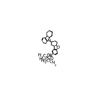 CC1(C)OB(c2ccc3c(c2)C2CC(N4C5=C(C=CCC5)C5CCCCC54)CCC2O3)OC1(C)C